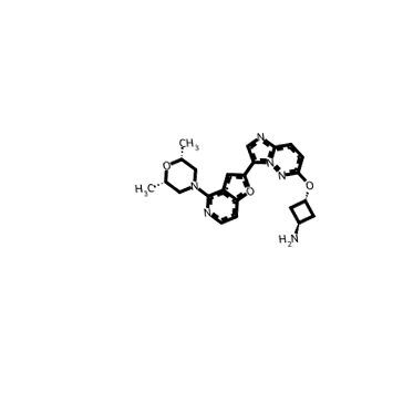 C[C@@H]1CN(c2nccc3oc(-c4cnc5ccc(O[C@H]6C[C@H](N)C6)nn45)cc23)C[C@H](C)O1